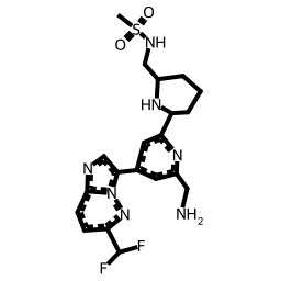 CS(=O)(=O)NCC1CCCC(c2cc(-c3cnc4ccc(C(F)F)nn34)cc(CN)n2)N1